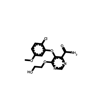 COc1ccc(Cl)c(Oc2c(OCCO)ncnc2C(N)=O)c1